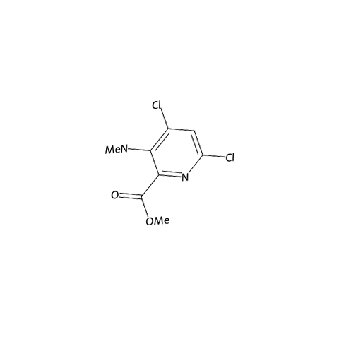 CNc1c(Cl)cc(Cl)nc1C(=O)OC